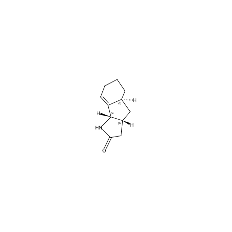 O=C1C[C@H]2C[C@@H]3CCCC=C3[C@H]2N1